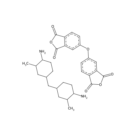 CC1CC(CC2CCC(N)C(C)C2)CCC1N.O=C1OC(=O)c2cc(Oc3ccc4c(c3)C(=O)OC4=O)ccc21